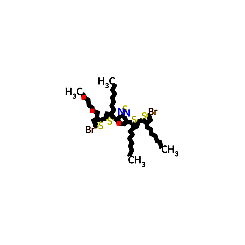 CCCCCCCCc1cc(Br)sc1-c1cc(CCCCCCCC)c(-c2ccc(-c3sc(-c4sc(Br)cc4CCCCCCCC)cc3CCCCCCCC)c3nsnc23)s1